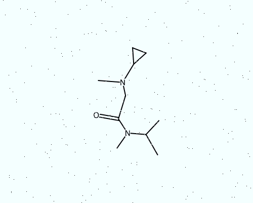 CC(C)N(C)C(=O)CN(C)C1CC1